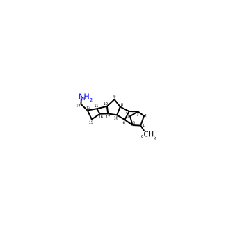 CC1CC2CC1C1C2C2CC3C4C(CN)CC4C3C21